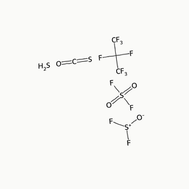 FC(F)(F)C(F)(F)C(F)(F)F.O=C=S.O=S(=O)(F)F.S.[O-][S+](F)F